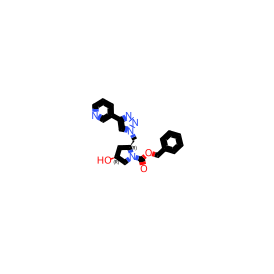 O=C(OCc1ccccc1)N1C[C@H](O)C[C@@H]1Cn1cc(-c2cccnc2)nn1